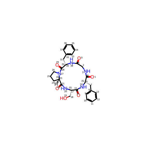 O=C1CNC(=O)[C@H](Cc2ccccc2)NC(=O)[C@H](CO)NC(=O)[C@@H]2CCCN2C(=O)[C@H](Cc2ccccc2)N1